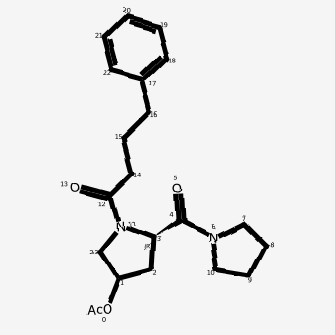 CC(=O)OC1C[C@H](C(=O)N2CCCC2)N(C(=O)CCCc2ccccc2)C1